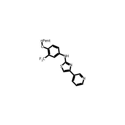 CCCCCOc1ccc(Nc2nc(-c3cc[c]nc3)cs2)cc1C(F)(F)F